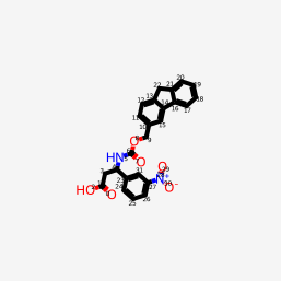 O=C(O)CC(NC(=O)OCc1ccc2c(c1)-c1ccccc1C2)c1cccc([N+](=O)[O-])c1